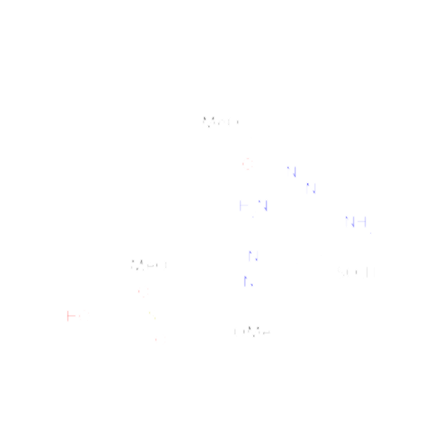 COC(=O)c1ccccc1/N=N/c1c(N)c(/N=N/c2cc(OC)c(S(=O)(=O)CCO)cc2OC)cc(S(=O)(=O)O)c1N